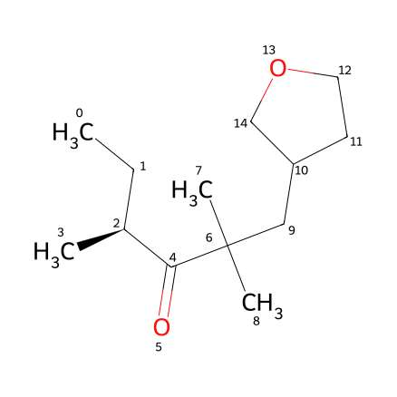 CC[C@H](C)C(=O)C(C)(C)CC1CCOC1